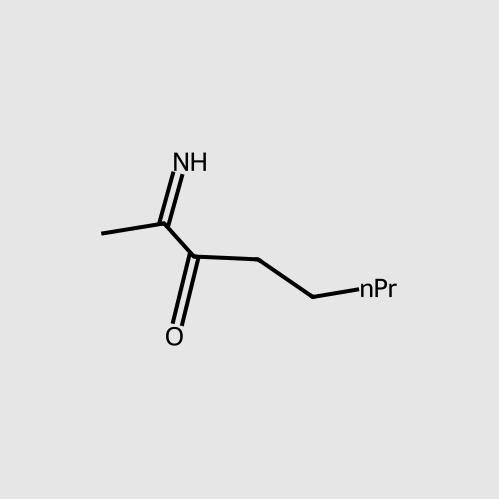 CCCCCC(=O)C(C)=N